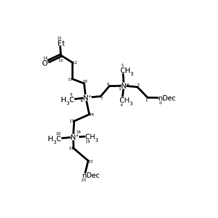 CCCCCCCCCCCC[N+](C)(C)CC[N+](C)(CCCC(=O)CC)CC[N+](C)(C)CCCCCCCCCCCC